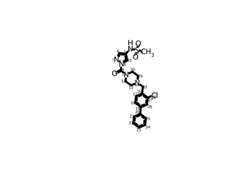 CS(=O)(=O)Nc1cnn(C(=O)N2CCN(Cc3ccc(-c4ccccc4)cc3Cl)CC2)c1